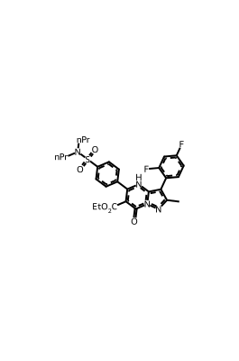 CCCN(CCC)S(=O)(=O)c1ccc(-c2[nH]c3c(-c4ccc(F)cc4F)c(C)nn3c(=O)c2C(=O)OCC)cc1